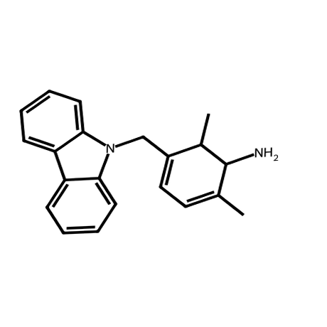 CC1=CC=C(Cn2c3ccccc3c3ccccc32)C(C)C1N